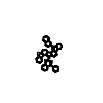 c1ccc(-c2nc(-n3c4ccc5c6ccccc6n(-c6ccc7ccccc7c6)c5c4c4ccc5oc6ccccc6c5c43)nc3ccccc23)cc1